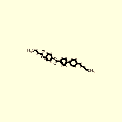 CCCCCC1CCC(c2ccc(C(=O)Oc3ccc(OC(=O)CCC)cc3)cc2)CC1